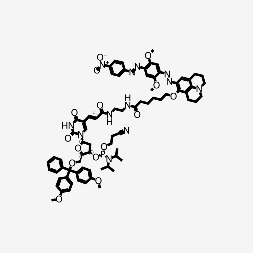 COc1ccc(C(OC[C@H]2O[C@@H](n3cc(/C=C/C(=O)NCCNC(=O)CCCCCOc4c(N=Nc5cc(OC)c(N=Nc6ccc([N+](=O)[O-])cc6)cc5OC)cc5c6c4CCCN6CCC5)c(=O)[nH]c3=O)C[C@@H]2OP(OCCC#N)N(C(C)C)C(C)C)(c2ccccc2)c2ccc(OC)cc2)cc1